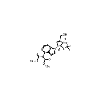 CC(C)(C)OC(=O)N(C(=O)OC(C)(C)C)c1ncnc2c1ncn2[C@@H]1C=C(CO)[C@H]2OC(C)(C)O[C@H]21